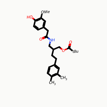 COc1cc(CC(=O)NCC(CCc2ccc(C)c(C)c2)COC(=O)C(C)(C)C)ccc1O